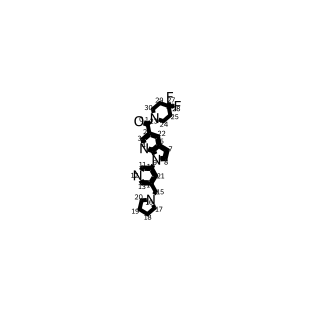 O=C(c1cnc2c(ccn2-c2cncc(CN3CCCC3)c2)c1)N1CCC(F)(F)CC1